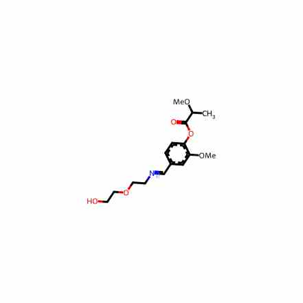 COc1cc(/C=N/CCOCCO)ccc1OC(=O)C(C)OC